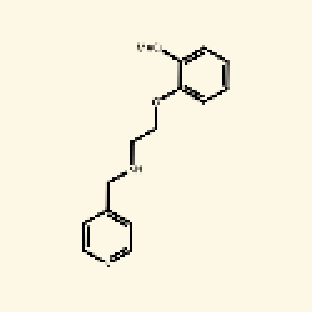 COc1ccccc1OCCNCc1ccncc1